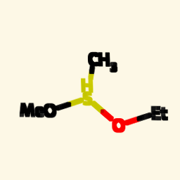 CCO[SH](C)OC